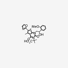 COc1ccccc1[C@@H](O)Cn1c(=O)n(C(C)(C)C(=O)O)c(=O)c2c(C)c(-c3ncco3)sc21